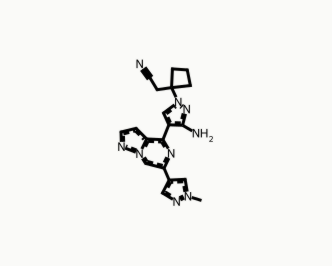 Cn1cc(-c2cn3nccc3c(-c3cn(C4(CC#N)CCC4)nc3N)n2)cn1